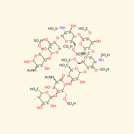 CC(=O)N[C@H]1[C@@H](O[C@H]2[C@H](O)[C@@H](O)C(O[C@H]3[C@H](OS(=O)(=O)O)[C@@H](NS(=O)(=O)O)[C@@H](O[C@H]4[C@H](O)[C@@H](OS(=O)(=O)O)[C@H](O[C@H]5[C@H](O)[C@@H](NS(=O)(=O)O)[C@@H](O[C@H]6[C@H](O)[C@@H](O)C(O[C@H]7[C@H](O)[C@@H](NC(C)=O)C(O)O[C@@H]7COS(=O)(=O)O)O[C@H]6C(=O)O)O[C@@H]5COS(=O)(=O)O)O[C@H]4C(=O)O)O[C@@H]3COS(=O)(=O)O)O[C@@H]2C(=O)O)O[C@H](COS(=O)(=O)O)[C@@H](O[C@@H]2OC(C(=O)O)[C@@H](C)[C@H](O)[C@H]2O)[C@@H]1O